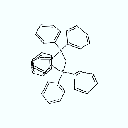 c1ccc(S(CS(c2ccccc2)(c2ccccc2)c2ccccc2)(c2ccccc2)c2ccccc2)cc1